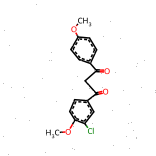 COc1ccc(C(=O)CC(=O)c2ccc(OC)c(Cl)c2)cc1